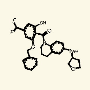 O=C(c1c(O)cc(C(F)F)cc1OCc1ccccc1)N1CCCc2cc(NC3CCOC3)ccc21